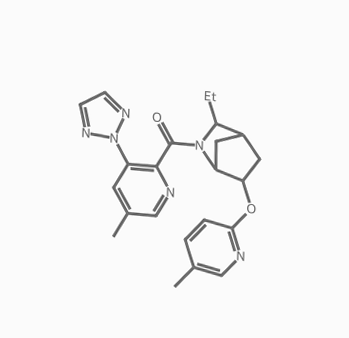 CCC1C2CC(Oc3ccc(C)cn3)C(C2)N1C(=O)c1ncc(C)cc1-n1nccn1